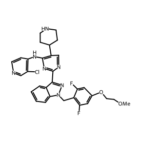 COCCOc1cc(F)c(Cn2nc(-c3ncc(C4CCNCC4)c(Nc4ccncc4Cl)n3)c3ccccc32)c(F)c1